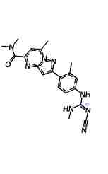 CN/C(=N\C#N)Nc1ccc(-c2cc3nc(C(=O)N(C)C)cc(C)n3n2)c(C)c1